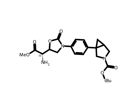 COC(=O)[C@@H](N)C1CN(c2ccc(C34CC3CN(C(=O)OC(C)(C)C)C4)cc2)C(=O)O1